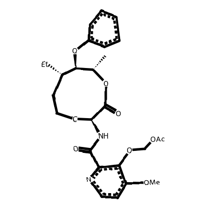 CC[C@H]1CCC[C@H](NC(=O)c2nccc(OC)c2OCOC(C)=O)C(=O)O[C@@H](C)[C@@H]1Oc1ccccc1